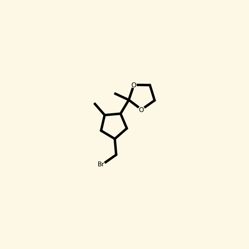 CC1CC(CBr)CC1C1(C)OCCO1